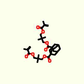 C=C(C)C(=O)OCC(C)(C)COC(=O)C12CC3CC(C1)CC(C(=O)OCC(C)(C)COC(=O)C(=C)C)(C3)C2